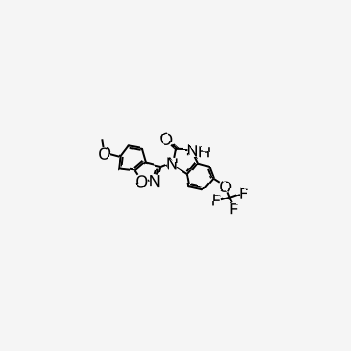 COc1ccc2c(-n3c(=O)[nH]c4cc(OC(F)(F)F)ccc43)noc2c1